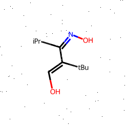 CC(C)C(=N/O)/C(=C/O)C(C)(C)C